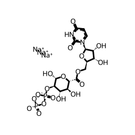 O=C(OC[C@H]1O[C@@H](n2ccc(=O)[nH]c2=O)[C@H](O)[C@@H]1O)[C@H]1O[C@@H](O)[C@H](OP(=O)([O-])OP(=O)([O-])[O-])[C@@H](O)[C@@H]1O.[Na+].[Na+].[Na+]